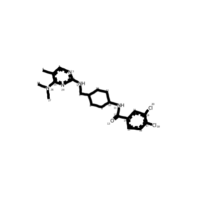 Cc1cnc(NCC2CCC(NC(=O)c3ccc(Cl)c(Cl)c3)CC2)nc1N(C)C